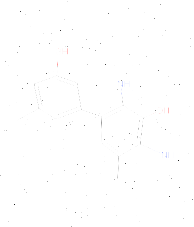 Cc1cc(O)cc(-c2cc(C)c(N)c(O)c2N)c1